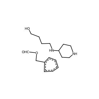 O=COCc1ccccc1.OCCCCNC1CCNCC1